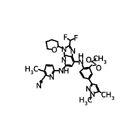 Cc1ccc(Nc2cc(Nc3ccc(-c4cc(C)n(C)n4)cc3S(C)(=O)=O)c3nc(C(F)F)n(C4CCCCO4)c3n2)nc1C#N